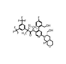 CN(C(=O)C(C)(C)c1cc(C(F)(F)F)cc(C(F)(F)F)c1)c1cnc(N2C[C@H]3COCCN3C[C@H]2CO)cc1-c1ccc(F)cc1CO